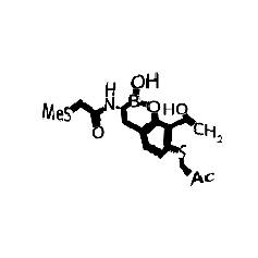 C=C(O)c1c(SCC(C)=O)ccc2c1OB(O)[C@@H](NC(=O)CSC)C2